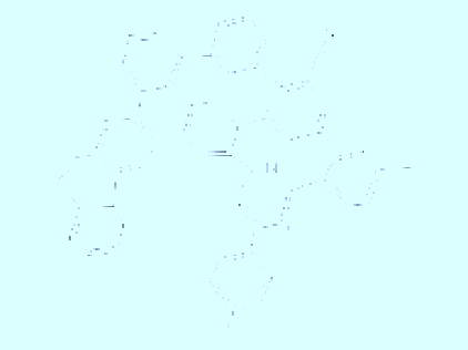 Cc1ccc(-c2nc(-c3ccc(C)cc3)nc(-c3ccccc3-c3cccc(C#N)c3-c3cccc(-c4cccc(-c5ccc6c(ccc7ccccc76)c5)c4)c3)n2)cc1